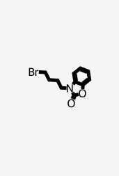 O=c1oc2ccccc2n1CCCCBr